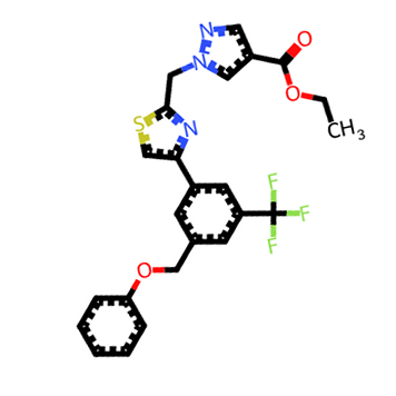 CCOC(=O)c1cnn(Cc2nc(-c3cc(COc4ccccc4)cc(C(F)(F)F)c3)cs2)c1